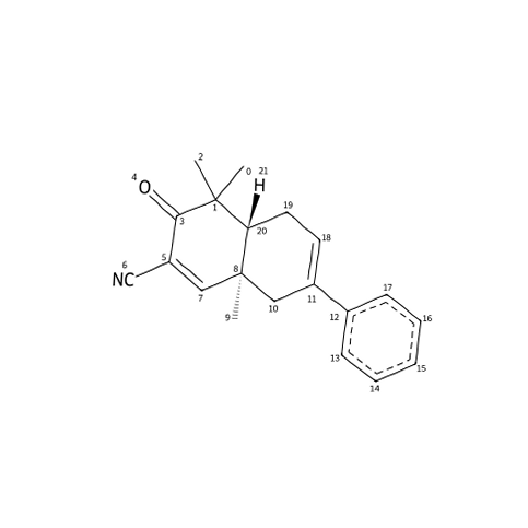 CC1(C)C(=O)C(C#N)=C[C@]2(C)CC(c3ccccc3)=CC[C@@H]12